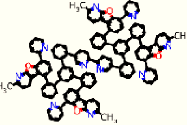 Cc1ccc2c(n1)oc1c(-c3ccccn3)ccc(-c3ccccc3-c3cc(-c4ccccc4-c4ccc(-c5ccc(-c6ccccc6-c6cc(-c7ccccc7-c7ccc(-c8ccccn8)c8oc9nc(C)ccc9c78)cc(-c7ccccc7-c7ccc(-c8ccccn8)c8oc9nc(C)ccc9c78)c6)cn5)nc4)cc(-c4ccccc4-c4ccc(-c5ccccn5)c5oc6nc(C)ccc6c45)c3)c12